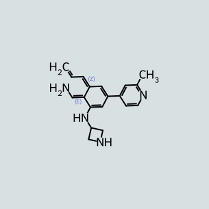 C=C/C=c1/cc(-c2ccnc(C)c2)cc(NC2CNC2)/c1=C/N